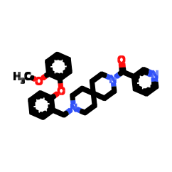 COc1ccccc1Oc1ccccc1CN1CCC2(CC1)CCN(C(=O)c1cccnc1)CC2